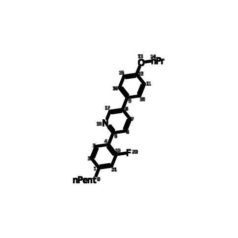 CCCCCc1ccc(-c2ccc(-c3ccc(OCCC)cc3)cn2)c(F)c1